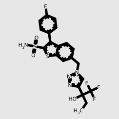 CCC(O)(c1cn(Cc2ccc3c(-c4ccc(F)cc4)c(S(N)(=O)=O)sc3c2)nn1)C(F)(F)F